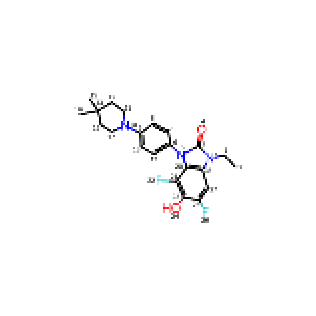 CCn1c(=O)n(-c2ccc(N3CCC(C)(C)CC3)cc2)c2c(F)c(O)c(F)cc21